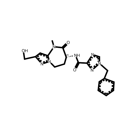 CN1C(=O)[C@H](NC(=O)c2ncn(Cc3ccccc3)n2)CCn2nc(CO)cc21